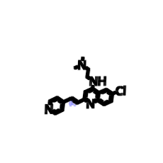 CN(C)CCNc1cc(/C=C/c2ccncc2)nc2ccc(Cl)cc12